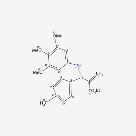 C=C(C(=O)OCC)[C@@H](Nc1cc(OC)c(OC)c(OC)c1)c1ccc(C)cc1